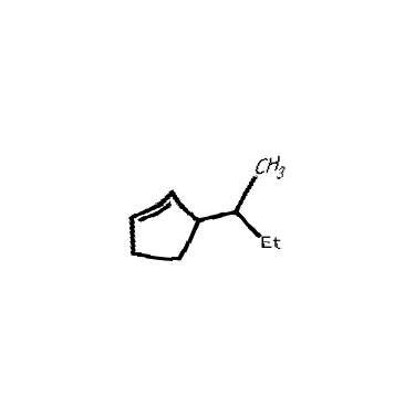 CC[C](C)C1C=CCC1